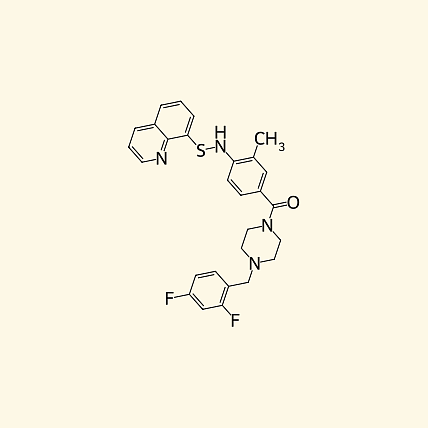 Cc1cc(C(=O)N2CCN(Cc3ccc(F)cc3F)CC2)ccc1NSc1cccc2cccnc12